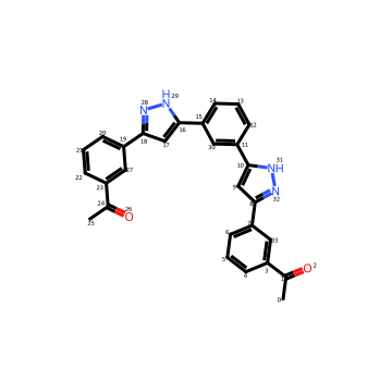 CC(=O)c1cccc(-c2cc(-c3cccc(-c4cc(-c5cccc(C(C)=O)c5)n[nH]4)c3)[nH]n2)c1